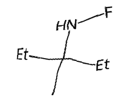 CCC(C)(CC)NF